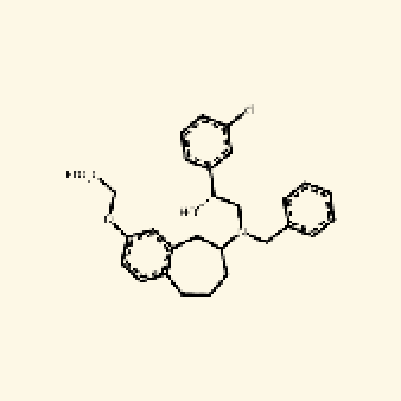 CCOC(=O)COc1ccc2c(c1)CC(N(Cc1ccccc1)C[C@H](O)c1cccc(Cl)c1)CCC2